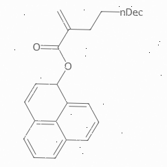 C=C(CCCCCCCCCCCC)C(=O)OC1C=Cc2cccc3cccc1c23